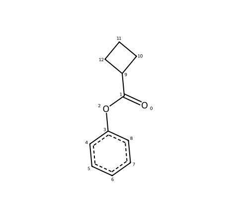 O=C(Oc1ccccc1)C1CCC1